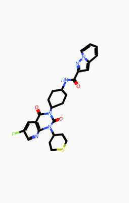 O=C(NC1CCC(n2c(=O)c3cc(F)cnc3n(C3CCSCC3)c2=O)CC1)c1cc2ccccn2n1